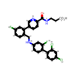 O=C(O)CCNC(=O)c1ccc(-c2cc(F)ccc2CNc2ccc(-c3ccc(Cl)cc3Cl)c(F)c2)cn1